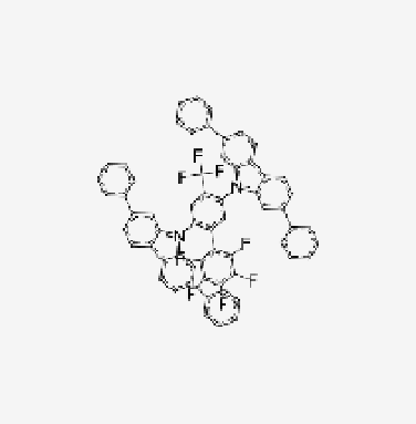 Fc1c(F)c(F)c(-c2cc(-n3c4cc(-c5ccccc5)ccc4c4ccc(-c5ccccc5)cc43)c(C(F)(F)F)cc2-n2c3cc(-c4ccccc4)ccc3c3ccc(-c4ccccc4)cc32)c(F)c1F